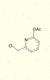 CC(=O)Oc1cccc(CCl)n1